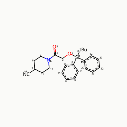 CC(C)(C)[Si](OCC(=O)N1CCC(C#N)CC1)(c1ccccc1)c1ccccc1